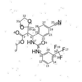 CCOC(=O)C(C(NC(=O)Nc1cccc(C(F)(F)F)c1)c1ccc(C#N)cc1)C1(C)OCCO1